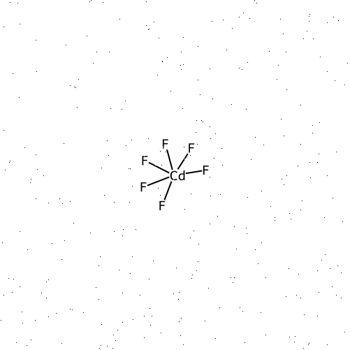 [F][Cd]([F])([F])([F])([F])[F]